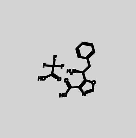 N[C@@H](Cc1ccccc1)c1ocnc1C(=O)O.O=C(O)C(F)(F)F